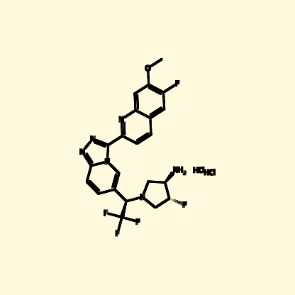 COc1cc2nc(-c3nnc4ccc([C@@H](N5C[C@@H](N)[C@H](F)C5)C(F)(F)F)cn34)ccc2cc1F.Cl.Cl